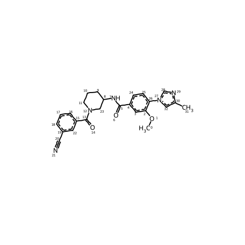 COc1cc(C(=O)NC2CCCN(C(=O)c3cccc(C#N)c3)C2)ccc1-n1cnc(C)c1